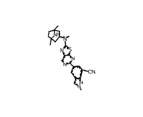 CN(c1nc2cnc(-c3cc(C#N)c4nn(C)cc4c3)nc2s1)C1CC2(C)CCC(C)(C1)N2